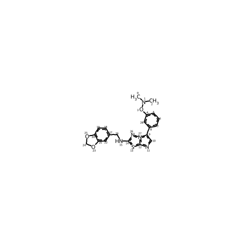 CN(C)Oc1cccc(-c2cnc3sc(NCc4ccc5c(c4)OCO5)nn23)c1